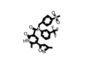 Cc1cc(-c2cc(C(=O)N(Cc3ccc(S(C)(=O)=O)cc3)c3cccc(C(F)(F)F)c3)c(=O)[nH]c2C)on1